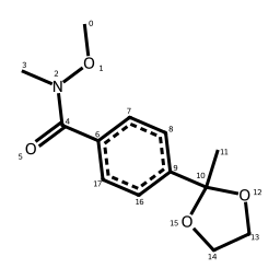 CON(C)C(=O)c1ccc(C2(C)OCCO2)cc1